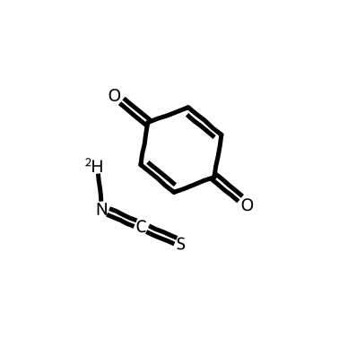 O=C1C=CC(=O)C=C1.[2H]N=C=S